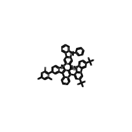 Cc1cc(C)c(-c2ccc3c(c2)c2c4ccccc4c4c5c2n3-c2cc3c6ccccc6n(-c6ccccc6)c3cc2B5n2c3ccc(C(C)(C)C)cc3c3cc(C(C)(C)C)cc-4c32)c(C)c1